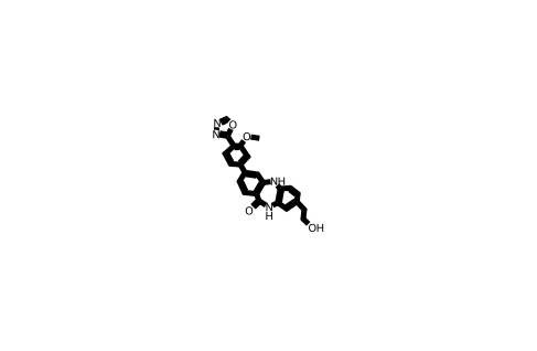 COc1cc(-c2ccc3c(c2)Nc2ccc(CCO)cc2NC3=O)ccc1-c1nnco1